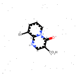 CCc1cccn2c(=O)c(C(=O)O)cnc12